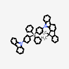 CC1(C)c2ccccc2-c2ccc3c4ccccc4n(-c4ccc([Si](c5ccccc5)(c5ccccc5)c5ccc(-n6c7ccccc7c7ccccc76)cc5)cc4)c3c21